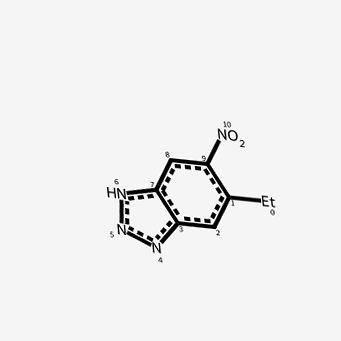 CCc1cc2nn[nH]c2cc1[N+](=O)[O-]